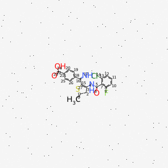 CC1CC(NC(=O)c2c(F)cccc2Cl)=C(C(=N)c2ccc(C(=O)O)cc2)S1